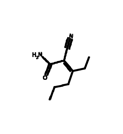 CCCC(CC)=C(C#N)C(N)=O